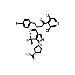 O=C(CN(Cc1ccc(F)cc1)C(=O)c1cnn([C@H]2CC[C@@H](C(=O)O)C2)c1C(F)(F)F)c1c(Cl)cncc1Cl